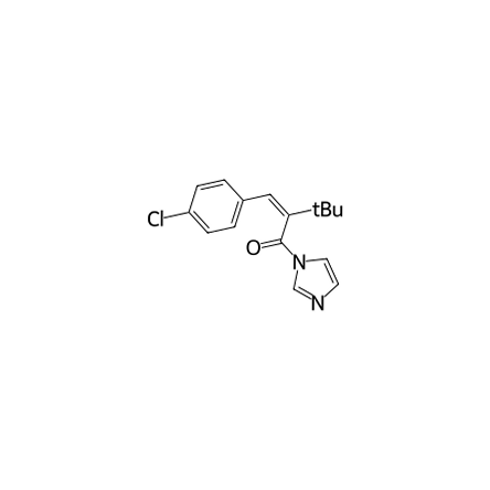 CC(C)(C)C(=Cc1ccc(Cl)cc1)C(=O)n1ccnc1